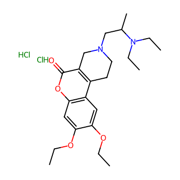 CCOc1cc2oc(=O)c3c(c2cc1OCC)CCN(CC(C)N(CC)CC)C3.Cl.Cl